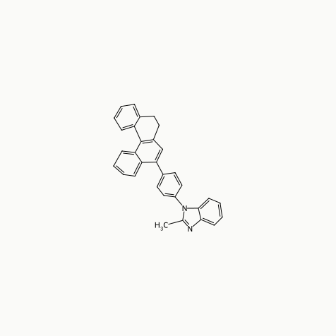 Cc1nc2ccccc2n1-c1ccc(-c2cc3c(c4ccccc24)-c2ccccc2CC3)cc1